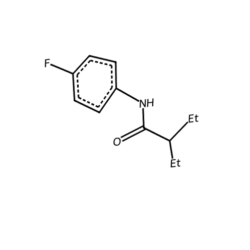 CCC(CC)C(=O)Nc1ccc(F)cc1